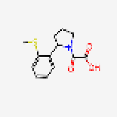 CSc1ccccc1C1CCCN1C(=O)C(=O)O